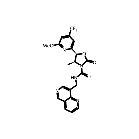 COc1cc(C(F)(F)F)cc([C@H]2OC(=O)N(C(=O)NCc3cncc4cccnc34)[C@H]2C)n1